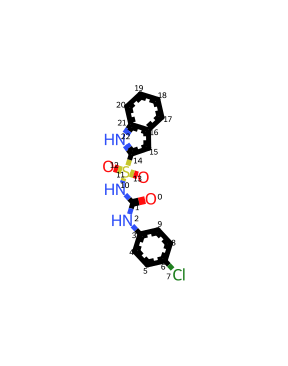 O=C(Nc1ccc(Cl)cc1)NS(=O)(=O)c1cc2ccccc2[nH]1